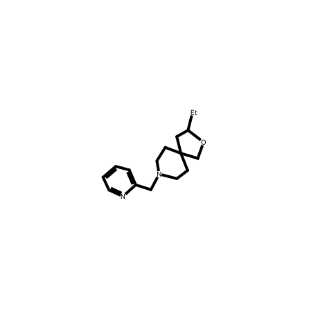 CCC1CC2(CCN(Cc3ccccn3)CC2)CO1